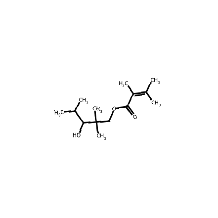 CC(C)=C(C)C(=O)OCC(C)(C)C(O)C(C)C